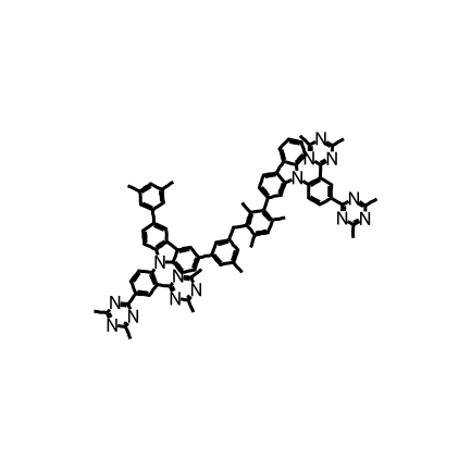 Cc1cc(C)cc(-c2ccc3c(c2)c2cc(-c4cc(C)cc(Cc5c(C)cc(C)c(-c6ccc7c8ccccc8n(-c8ccc(-c9nc(C)nc(C)n9)cc8-c8nc(C)nc(C)n8)c7c6)c5C)c4)ccc2n3-c2ccc(-c3nc(C)nc(C)n3)cc2-c2nc(C)nc(C)n2)c1